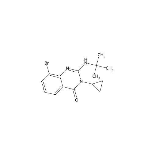 CC(C)(C)Nc1nc2c(Br)cccc2c(=O)n1C1CC1